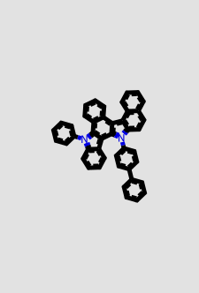 c1ccc(-c2ccc(-n3c4ccc5ccccc5c4c4c5ccccc5c5c(c6ccccc6n5-c5ccccc5)c43)cc2)cc1